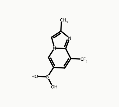 Cc1cn2cc(B(O)O)cc(C(F)(F)F)c2n1